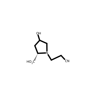 N#CCCN1CC(O)C[C@H]1C(=O)O